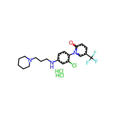 Cl.Cl.O=c1ccc(C(F)(F)F)cn1-c1ccc(NCCCN2CCCCC2)cc1Cl